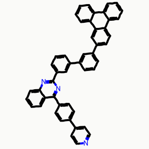 c1cc(-c2cccc(-c3nc(-c4ccc(-c5ccncc5)cc4)c4ccccc4n3)c2)cc(-c2ccc3c4ccccc4c4ccccc4c3c2)c1